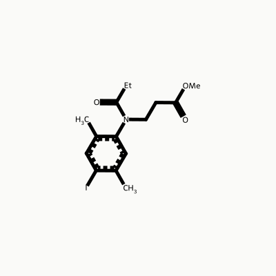 CCC(=O)N(CCC(=O)OC)c1cc(C)c(I)cc1C